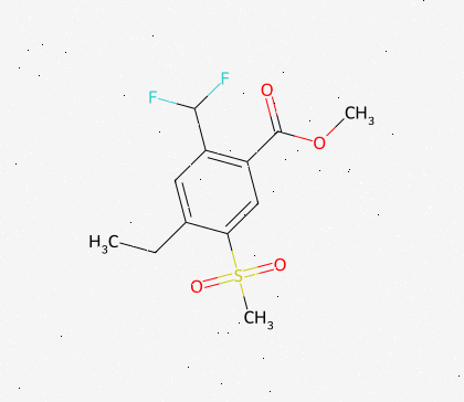 CCc1cc(C(F)F)c(C(=O)OC)cc1S(C)(=O)=O